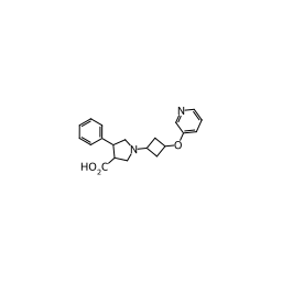 O=C(O)C1CN(C2CC(Oc3cccnc3)C2)CC1c1ccccc1